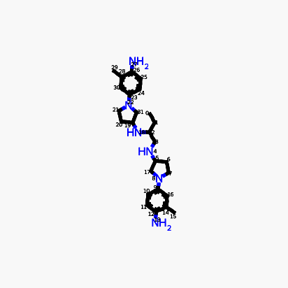 CCC(CNC1CCN(c2ccc(N)c(C)c2)C1)NC1CCN(c2ccc(N)c(C)c2)C1